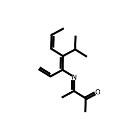 C=CC(/N=C(\C)C(C)=O)=C(\C=C/C)C(C)C